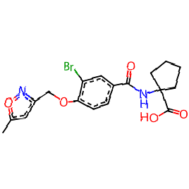 Cc1cc(COc2ccc(C(=O)NC3(C(=O)O)CCCC3)cc2Br)no1